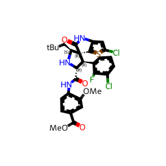 COC(=O)c1ccc(NC(=O)[C@@H]2N[C@@H](CC(C)(C)C)[C@@]3(C(=O)Nc4cc(Cl)sc43)[C@H]2c2cccc(Cl)c2F)c(OC)c1